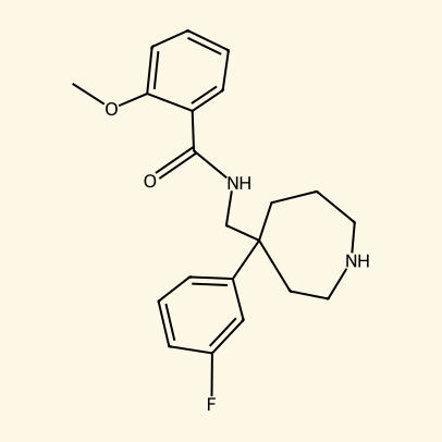 COc1ccccc1C(=O)NCC1(c2cccc(F)c2)CCCNCC1